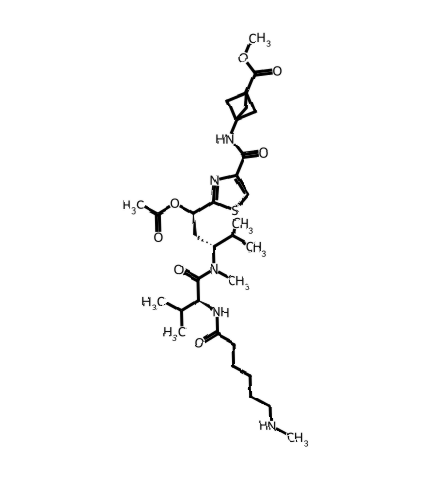 CNCCCCCC(=O)N[C@H](C(=O)N(C)[C@H](C[C@@H](OC(C)=O)c1nc(C(=O)NC23CC(C(=O)OC)(C2)C3)cs1)C(C)C)C(C)C